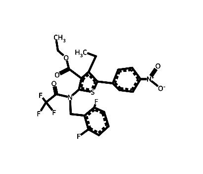 CCOC(=O)c1c(N(Cc2c(F)cccc2F)C(=O)C(F)(F)F)sc(-c2ccc([N+](=O)[O-])cc2)c1CC